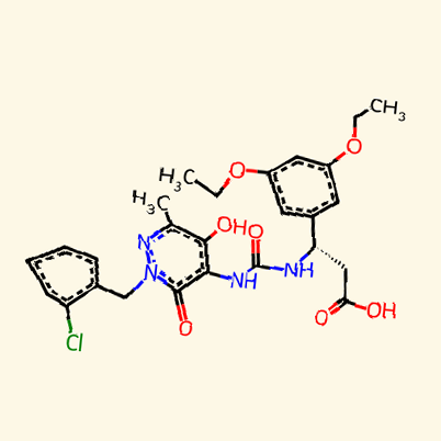 CCOc1cc(OCC)cc([C@H](CC(=O)O)NC(=O)Nc2c(O)c(C)nn(Cc3ccccc3Cl)c2=O)c1